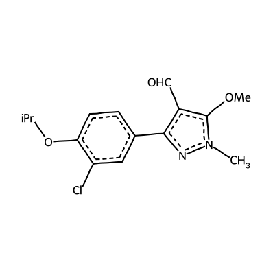 COc1c(C=O)c(-c2ccc(OC(C)C)c(Cl)c2)nn1C